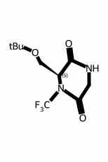 CC(C)(C)OC[C@H]1C(=O)NCC(=O)N1C(F)(F)F